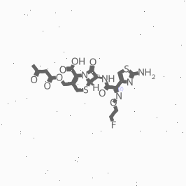 CC(=O)CC(=O)OCC1=C(C(=O)O)N2C(=O)[C@@H](NC(=O)/C(=N\OCCF)c3csc(N)n3)[C@@H]2SC1